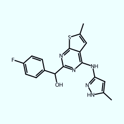 Cc1cc(Nc2nc(C(O)c3ccc(F)cc3)nc3sc(C)cc23)n[nH]1